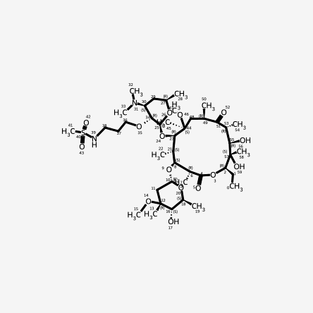 CC[C@H]1OC(=O)[C@H](C)[C@@H](O[C@H]2C[C@@](C)(OC)[C@@H](O)[C@H](C)O2)[C@H](C)[C@@H](O[C@@H]2O[C@H](C)C[C@H](N(C)C)[C@H]2OCCCNS(C)(=O)=O)[C@@](C)(OC)C[C@@H](C)C(=O)[C@H](C)[C@@H](O)[C@]1(C)O